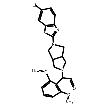 COc1cccc(OC)c1C(C=O)N1CC2CN(c3nc4ccc(Cl)cc4s3)CC2C1